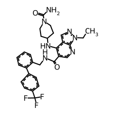 CCn1ncc2c(NC3CCN(C(N)=O)CC3)c(C(=O)NCc3ccccc3-c3ccc(C(F)(F)F)cc3)cnc21